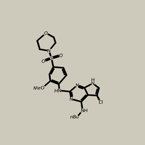 CCCCNc1nc(Nc2ccc(S(=O)(=O)N3CCOCC3)cc2OC)nc2[nH]cc(Cl)c12